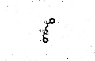 O=C(CCc1cnc(Cc2ccccc2)[nH]1)c1ccccc1